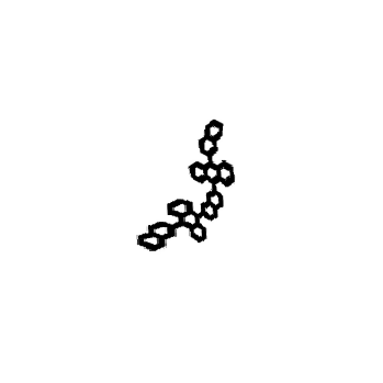 c1ccc2cc(-c3c4ccccc4c(-c4ccc5ccc(-c6c7ccccc7c(-c7ccc8ccccc8c7)c7ccccc67)cc5c4)c4ccccc34)ccc2c1